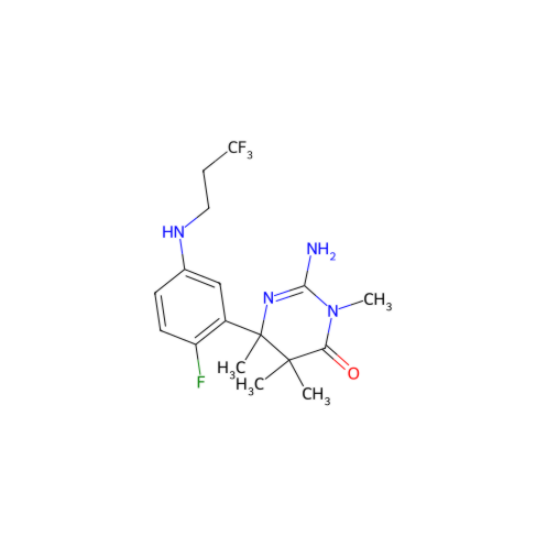 CN1C(=O)C(C)(C)C(C)(c2cc(NCCC(F)(F)F)ccc2F)N=C1N